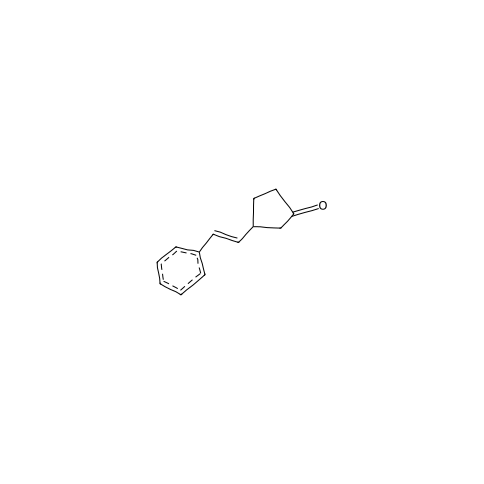 O=C1CCC(/C=C/c2ccccc2)C1